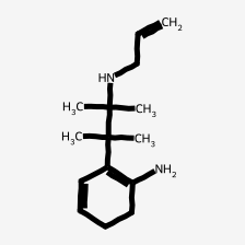 C=CCNC(C)(C)C(C)(C)C1=C(N)CCC=C1